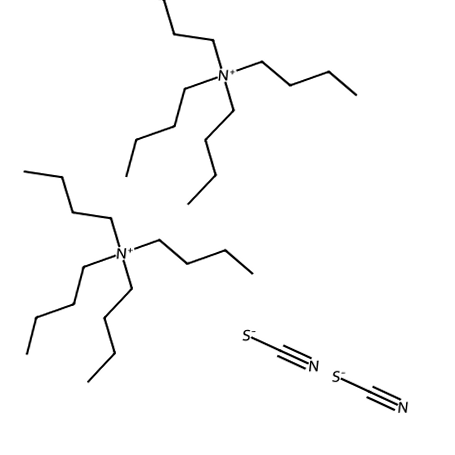 CCCC[N+](CCCC)(CCCC)CCCC.CCCC[N+](CCCC)(CCCC)CCCC.N#C[S-].N#C[S-]